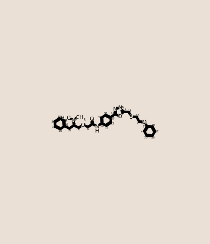 CN(C)C(COCC(=O)Nc1ccc(-c2nnc(CSCCOc3ccccc3)o2)cc1)Cc1ccccc1